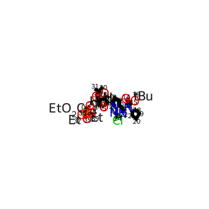 CCOC(=O)C(OC[C@H]1O[C@H](c2ccc3c(N(C(=O)OC(C)(C)C)C4CCCC4)nc(Cl)nn23)[C@@H]2OC(C)(C)O[C@@H]21)P(=O)(OCC)OCC